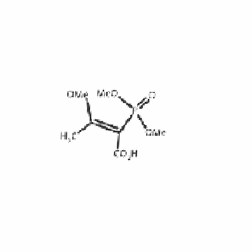 COC(C)=C(C(=O)O)P(=O)(OC)OC